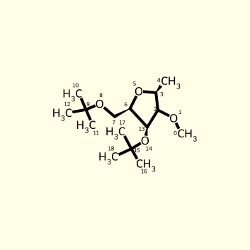 COC1[C@H](C)O[C@H](COC(C)(C)C)[C@@H]1OC(C)(C)C